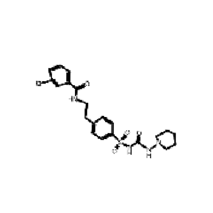 O=C(NN1CCCCC1)NS(=O)(=O)c1ccc(CCNC(=O)c2cccc(Cl)c2)cc1